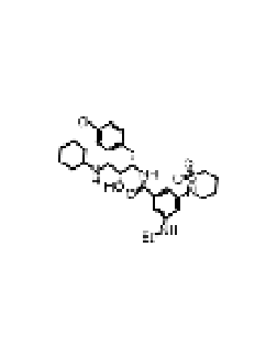 CCNc1cc(C(=O)N[C@@H](Cc2ccc(Cl)cc2)[C@H](O)CNC2CCCCC2)cc(N2CCCCS2(=O)=O)c1